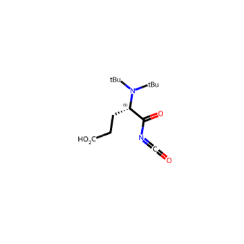 CC(C)(C)N([C@@H](CCC(=O)O)C(=O)N=C=O)C(C)(C)C